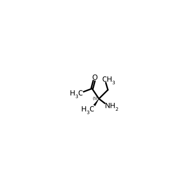 CC[C@](C)(N)C(C)=O